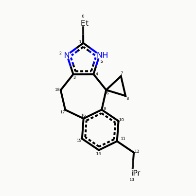 CCc1nc2c([nH]1)C1(CC1)c1cc(CC(C)C)ccc1CC2